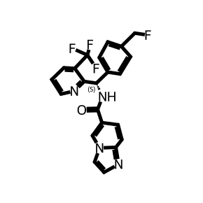 O=C(N[C@@H](c1ccc(CF)cc1)c1ncccc1C(F)(F)F)c1ccc2nccn2c1